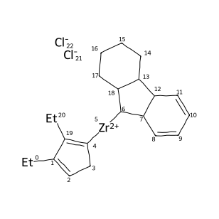 CCC1=CC[C]([Zr+2][CH]2C3C=CC=CC3C3CCCCC32)=C1CC.[Cl-].[Cl-]